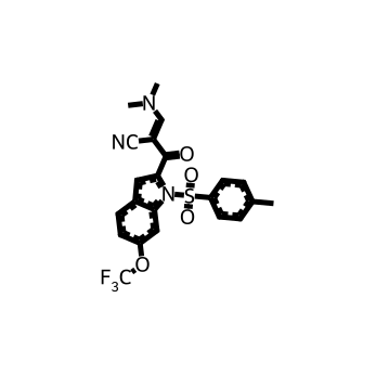 Cc1ccc(S(=O)(=O)n2c(C(=O)C(C#N)=CN(C)C)cc3ccc(OC(F)(F)F)cc32)cc1